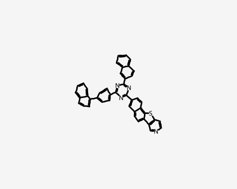 c1ccc2cc(-c3nc(-c4ccc(-c5cccc6ccccc56)cc4)nc(-c4ccc5c(ccc6c7cnccc7sc56)c4)n3)ccc2c1